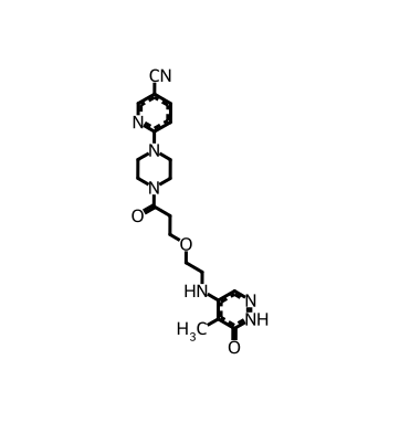 Cc1c(NCCOCCC(=O)N2CCN(c3ccc(C#N)cn3)CC2)cn[nH]c1=O